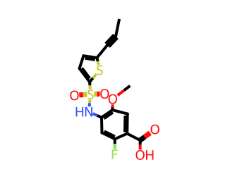 CC#Cc1ccc(S(=O)(=O)Nc2cc(F)c(C(=O)O)cc2OC)s1